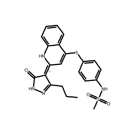 CCCC1=NNC(=O)/C1=C1/C=C(Sc2ccc(NS(C)(=O)=O)cc2)c2ccccc2N1